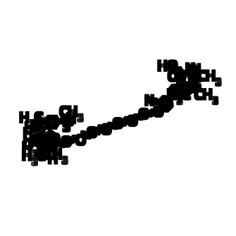 Cc1ncsc1-c1ccc([C@H](C)NC(=O)[C@@H]2C[C@@H](O)CN2C(=O)[C@@H](NC(=O)COCCOCCOCCOCCOCCOCCOCCOc2ccc(-c3ccc(C4=N[C@@H](CC(=O)O)c5nnc(C)n5-c5sc(C)c(C)c54)cc3)cc2C#N)C(C)(C)C)cc1